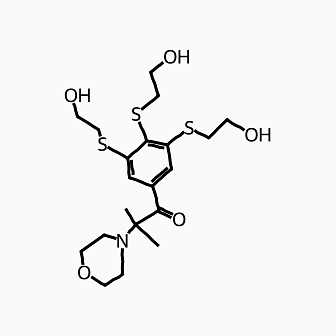 CC(C)(C(=O)c1cc(SCCO)c(SCCO)c(SCCO)c1)N1CCOCC1